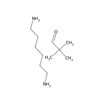 CC(C)(C)C=O.NCCCCCCN